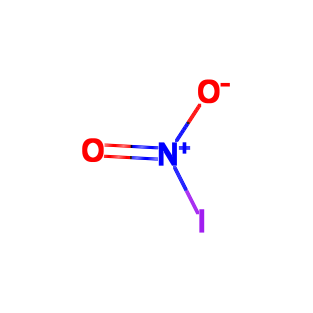 O=[N+]([O-])I